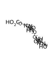 Cc1c(NC(=O)c2nc3c(n2C)CCN(CCC24CCC(C(=O)O)(CC2)C4)C3)cccc1-c1cccc(NC(=O)c2nc3c(n2C)CCN(C[C@H](C)O)C3)c1C